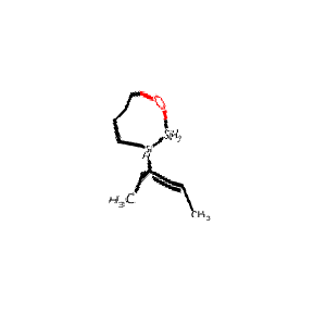 CC=C(C)[SiH]1CCCO[SiH2]1